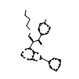 Cc1ccc(C(=N)/C(=C\NCCCO)c2ncnc3[nH]c(-c4ccccc4)nc23)cc1